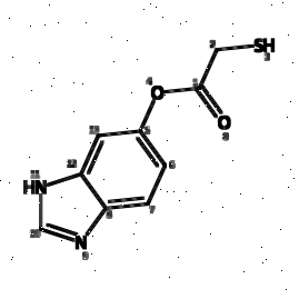 O=C(CS)Oc1ccc2nc[nH]c2c1